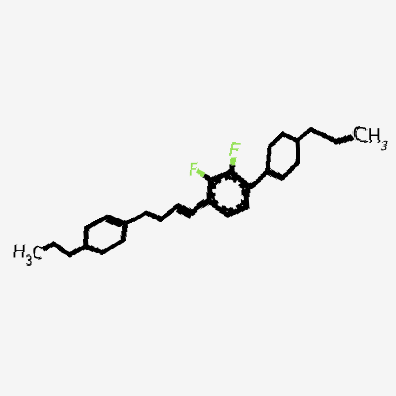 CCCC1CC=C(CC/C=C/c2ccc(C3CCC(CCC)CC3)c(F)c2F)CC1